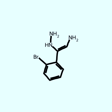 N/C=C(\NN)c1ccccc1Br